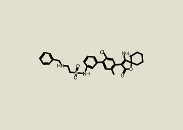 Cc1cc(-c2cccc(NS(=O)(=O)CCNCc3ccccc3)c2)c(Cl)cc1C1=C(N)C2(CCCCC2)OC1=O